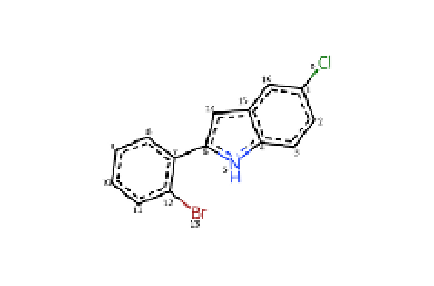 Clc1ccc2[nH]c(-c3ccccc3Br)cc2c1